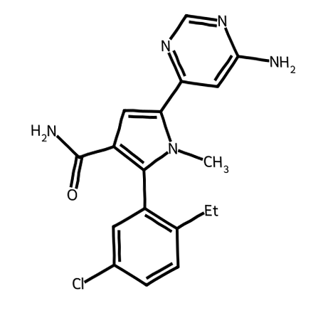 CCc1ccc(Cl)cc1-c1c(C(N)=O)cc(-c2cc(N)ncn2)n1C